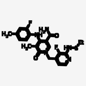 CCSNc1nccc(Cn2cc(C(N)=O)c(Nc3ccc(C)cc3F)c(C)c2=O)c1F